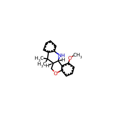 COc1cccc2c1[C@H]1Nc3ccccc3C(C)(C)[C@H]1CO2